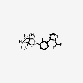 CC1(C)OB(c2cccc(-c3ncnn3C(F)F)c2F)OC1(C)C